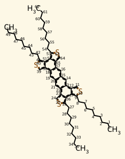 CCCCCCCCCc1scc2c3cc4cc5c(cc4cc3c3csc(CCCCCCCCC)c3c12)c1csc(CCCCCCCCC)c1c1c(CCCCCCCCC)scc51